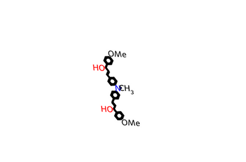 COc1ccc(C(O)C=Cc2ccc(N(C)c3ccc(C=CC(O)c4ccc(OC)cc4)cc3)cc2)cc1